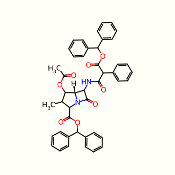 CC(=O)OC1C(C)C(C(=O)OC(c2ccccc2)c2ccccc2)N2C(=O)C(NC(=O)C(C(=O)OC(c3ccccc3)c3ccccc3)c3ccccc3)[C@@H]12